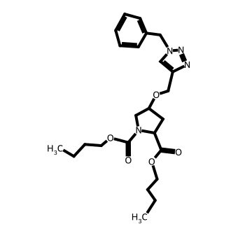 CCCCOC(=O)C1CC(OCc2cn(Cc3ccccc3)nn2)CN1C(=O)OCCCC